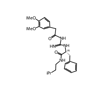 COc1ccc(CC(=O)NC(=N)N[C@H](Cc2ccccc2)C(=O)NCCC(C)C)cc1OC